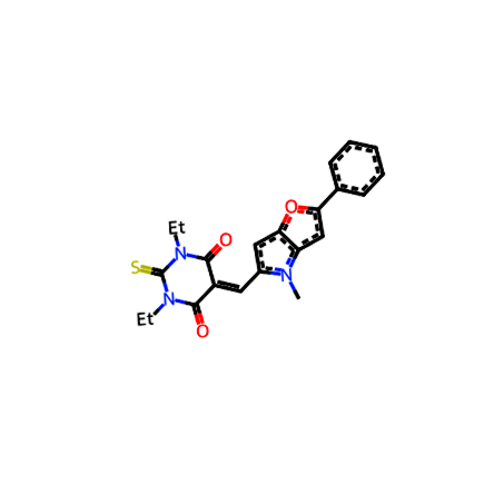 CCN1C(=O)C(=Cc2cc3oc(-c4ccccc4)cc3n2C)C(=O)N(CC)C1=S